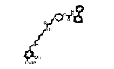 COc1ccc(CNCCCCCNC(=O)CCN2CCC(OC(=O)Nc3ccccc3-c3ccccc3)CC2)cc1O